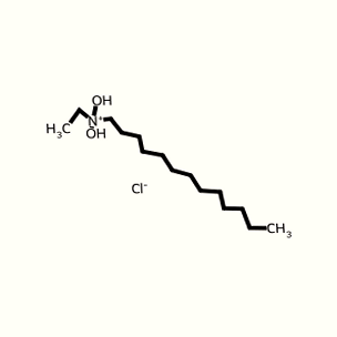 CCCCCCCCCCCCC[N+](O)(O)CC.[Cl-]